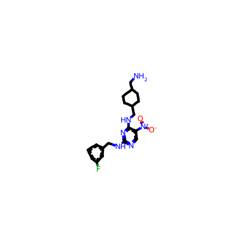 NCC1CCC(CNc2nc(NCc3cccc(F)c3)ncc2[N+](=O)[O-])CC1